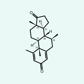 CC1=CC(=O)C=C2C[C@H](C)[C@@H]3[C@H](CC[C@]4(C)C(=O)CC[C@@H]34)[C@@]12C